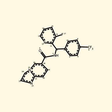 O=C(NC(c1ccc(C(F)(F)F)cc1)c1ncccc1F)c1ccc2nccn2c1